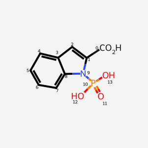 O=C(O)c1cc2ccccc2n1P(=O)(O)O